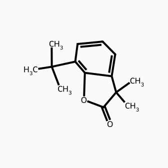 CC(C)(C)c1cccc2c1OC(=O)C2(C)C